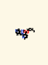 CCOC(=O)c1cccnc1NCc1ccncc1